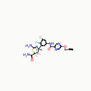 C#CCOc1cnc(C(=O)Nc2cc(F)c(F)c([C@@]3(C)N=C(N)S[C@](C)(C(N)=O)[C@H]3C)c2)cn1